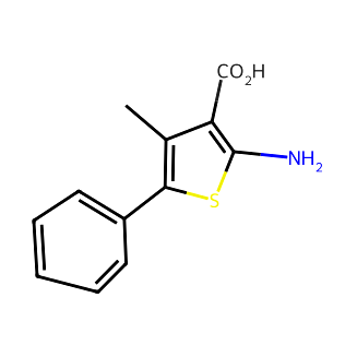 Cc1c(-c2ccccc2)sc(N)c1C(=O)O